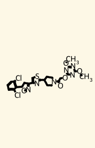 COc1nc(OC)nc(OCC(=O)N2CCC(c3nc(C4=NOC(c5c(Cl)cccc5Cl)C4)cs3)CC2)n1